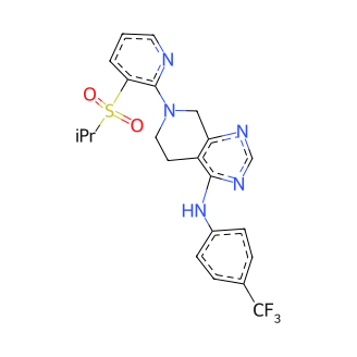 CC(C)S(=O)(=O)c1cccnc1N1CCc2c(ncnc2Nc2ccc(C(F)(F)F)cc2)C1